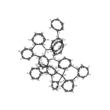 c1ccc(-c2ccc(N(c3ccc4c(c3)C3(c5ccccc5-c5ccccc5-4)c4ccccc4-c4c3ccc3oc5ccccc5c43)c3cccc4c3N(c3ccccc3)c3ccccc3-c3ccccc3-4)cc2)cc1